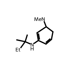 CCC(C)(C)NC1=CC(NC)CC=C1